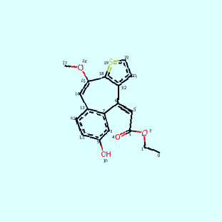 CCOC(=O)/C=C1\c2cc(O)ccc2C=C(OC)c2sccc21